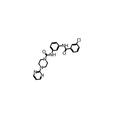 O=C(Nc1cccc(NC(=O)N2CCN(c3ncccn3)CC2)c1)c1cccc(Cl)c1